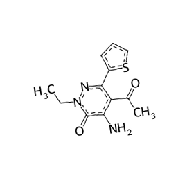 CCn1nc(-c2cccs2)c(C(C)=O)c(N)c1=O